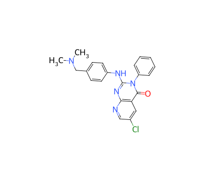 CN(C)Cc1ccc(Nc2nc3ncc(Cl)cc3c(=O)n2-c2ccccc2)cc1